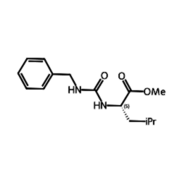 COC(=O)[C@H](CC(C)C)NC(=O)NCc1ccccc1